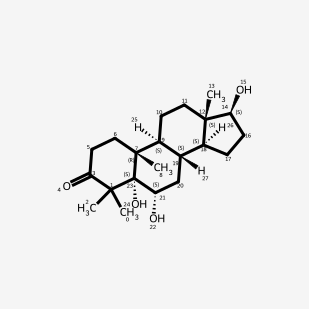 CC1(C)C(=O)CC[C@]2(C)[C@H]3CC[C@]4(C)[C@@H](O)CC[C@H]4[C@@H]3C[C@H](O)[C@@]12O